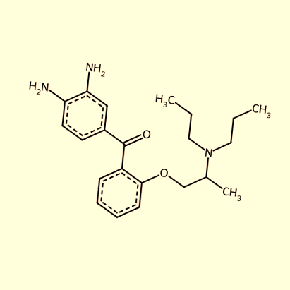 CCCN(CCC)C(C)COc1ccccc1C(=O)c1ccc(N)c(N)c1